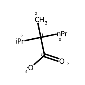 CCCC(C)(C([O])=O)C(C)C